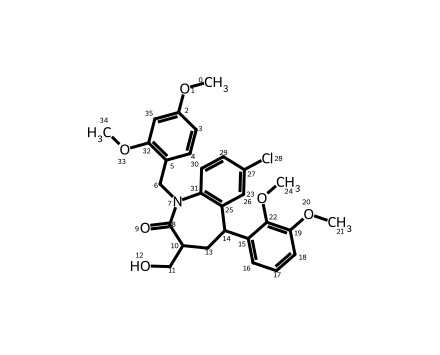 COc1ccc(CN2C(=O)C(CO)CC(c3cccc(OC)c3OC)c3cc(Cl)ccc32)c(OC)c1